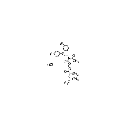 CC(=O)N(CCN(c1ccc(F)cc1)c1cccc(Br)c1)C(=O)OCOC(=O)C(N)CC(C)C.Cl